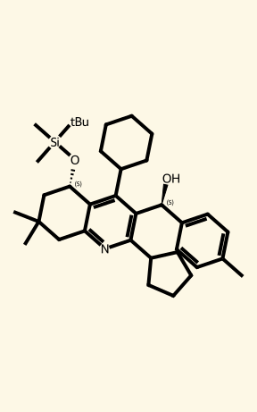 Cc1ccc([C@H](O)c2c(C3CCCC3)nc3c(c2C2CCCCC2)[C@@H](O[Si](C)(C)C(C)(C)C)CC(C)(C)C3)cc1